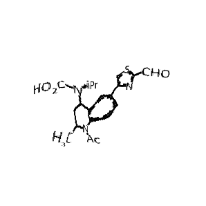 CC(=O)N1c2ccc(-c3csc(C=O)n3)cc2C(N(C(=O)O)C(C)C)CC1C